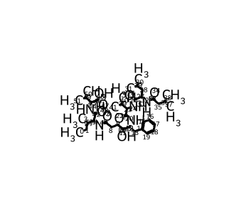 CC[C@H](C)[C@H](NC(=O)CC[C@H](O)[C@H](Cc1ccccc1)NC(=O)C(NC(=O)C(CC(C)C)NC(=O)CC(C)C)C(C)C)C(=O)NC(C(=O)O)C(C)C